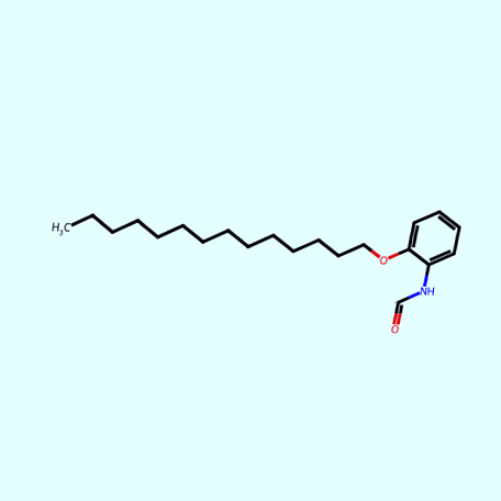 CCCCCCCCCCCCCCOc1ccccc1N[C]=O